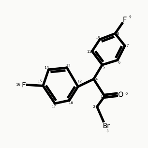 O=C(CBr)C(c1ccc(F)cc1)c1ccc(F)cc1